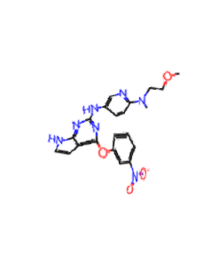 COCCN(C)c1ccc(Nc2nc(Oc3cccc([N+](=O)[O-])c3)c3cc[nH]c3n2)cn1